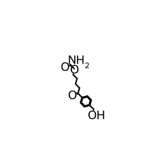 NC(=O)OCCCCC(=O)c1ccc(CO)cc1